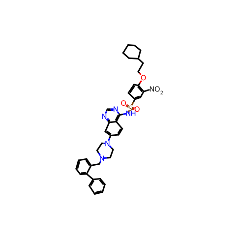 O=[N+]([O-])c1cc(S(=O)(=O)Nc2ncnc3cc(N4CCN(Cc5ccccc5-c5ccccc5)CC4)ccc23)ccc1OCCC1CCCCC1